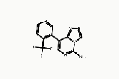 Nc1ncc(-c2cnccc2C(F)(F)F)c2nncn12